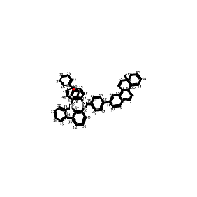 CC12C=Cc3c(ccc4ccc(-c5ccc(N(c6ccc(-c7ccccc7)cc6)c6cccc7c8ccccc8n(-c8ccccc8)c67)cc5)cc34)C1=CC=CC2